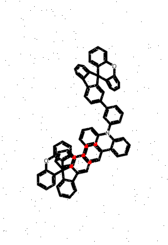 c1ccc(-c2ccc(-c3ccccc3N(c3cccc(-c4ccc5c(c4)C4(c6ccccc6Oc6ccccc64)c4ccccc4-5)c3)c3cccc(-c4ccc5c(c4)C4(c6ccccc6Oc6ccccc64)c4ccccc4-5)c3)cc2)cc1